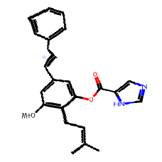 COc1cc(/C=C/c2ccccc2)cc(OC(=O)c2cnc[nH]2)c1CC=C(C)C